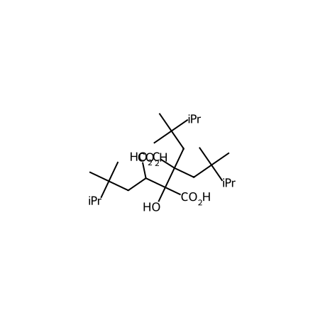 CC(C)C(C)(C)CC(C(=O)O)C(O)(C(=O)O)C(CC(C)(C)C(C)C)(CC(C)(C)C(C)C)C(=O)O